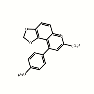 COc1ccc(-c2cc(C(=O)O)nc3ccc4c(c23)OCO4)cc1